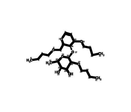 CCCCOCC1OC=CC(OCCCC)[C@@H]1O[C@@H]1OC(C)[C@H](O)C(O)C1OCCCC